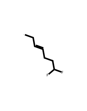 [CH2]CC=CCCC(F)F